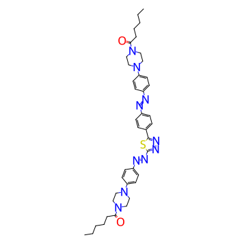 CCCCCC(=O)N1CCN(c2ccc(N=Nc3ccc(-c4nnc(N=Nc5ccc(N6CCN(C(=O)CCCCC)CC6)cc5)s4)cc3)cc2)CC1